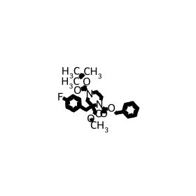 COC(=O)C1(Cc2ccc(F)cc2)CN(C(=O)OC(C)(C)C)CCN1C(=O)OCc1ccccc1